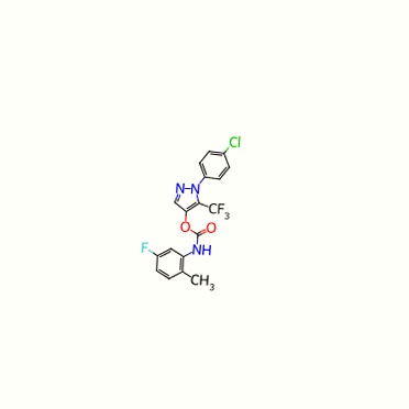 Cc1ccc(F)cc1NC(=O)Oc1cnn(-c2ccc(Cl)cc2)c1C(F)(F)F